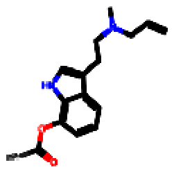 C=CCN(C)CCc1c[nH]c2c(OC(=O)CCC)cccc12